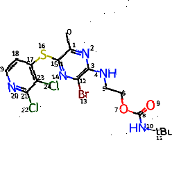 Cc1nc(NCCOC(=O)NC(C)(C)C)c(Br)nc1Sc1ccnc(Cl)c1Cl